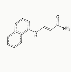 NC(=O)C=CNc1cccc2ccccc12